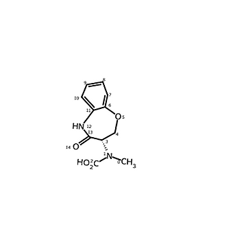 CN(C(=O)O)[C@H]1COc2ccccc2NC1=O